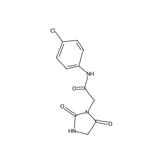 O=C(CN1C(=O)CNC1=O)Nc1ccc(Cl)cc1